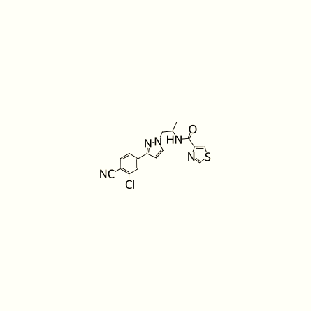 CC(Cn1ccc(-c2ccc(C#N)c(Cl)c2)n1)NC(=O)c1cscn1